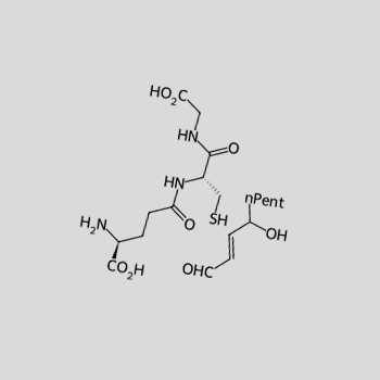 CCCCCC(O)C=CC=O.N[C@@H](CCC(=O)N[C@@H](CS)C(=O)NCC(=O)O)C(=O)O